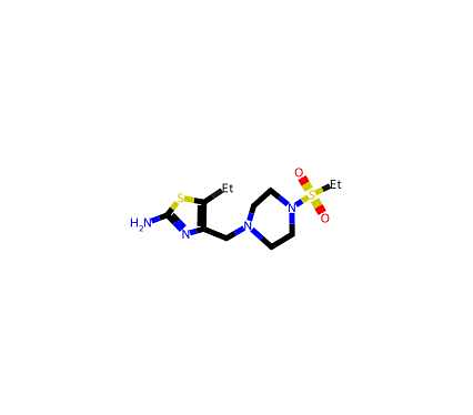 CCc1sc(N)nc1CN1CCN(S(=O)(=O)CC)CC1